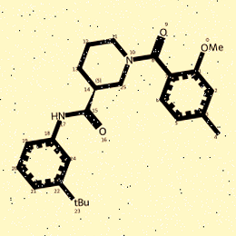 COc1cc(C)ccc1C(=O)N1CCC[C@H](C(=O)Nc2cccc(C(C)(C)C)c2)C1